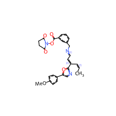 C\C=C/C(=C\C=N\Cc1cccc(C(=O)ON2C(=O)CCC2=O)c1)c1ncc(-c2ccc(OC)cc2)o1